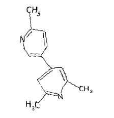 Cc1ccc(-c2cc(C)nc(C)c2)cn1